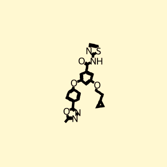 Cc1nnc(-c2ccc(Oc3cc(OCCC4CC4)cc(C(=O)Nc4nccs4)c3)cc2)o1